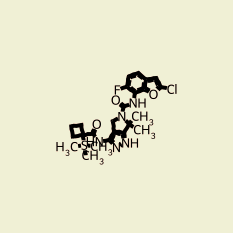 CC1(C)c2[nH]nc(NC(=O)C3(S(C)(C)C)CCC3)c2CN1C(=O)Nc1c(F)ccc2cc(Cl)oc12